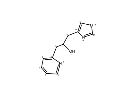 OC(Cc1ccccn1)Cc1cocn1